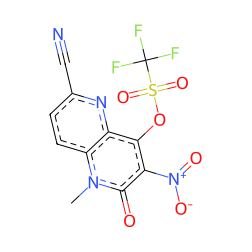 Cn1c(=O)c([N+](=O)[O-])c(OS(=O)(=O)C(F)(F)F)c2nc(C#N)ccc21